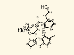 Cc1ccc(C[C@@H]2CCCN2C[C@@H](CO[C@H](C)c2ccccc2CCO)O[Si](C)(C)C(C)(C)C)cc1F